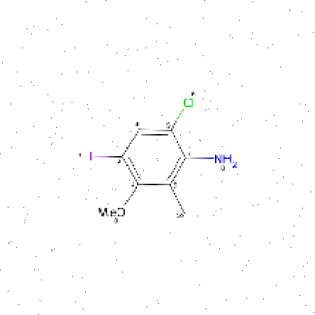 COc1c(I)cc(Cl)c(N)c1C